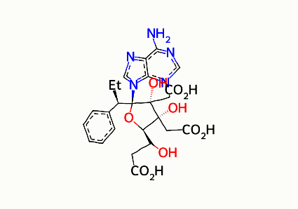 CC[C@H](c1ccccc1)[C@@]1(n2cnc3c(N)ncnc32)O[C@H](C(O)CC(=O)O)[C@](O)(CC(=O)O)[C@]1(O)CC(=O)O